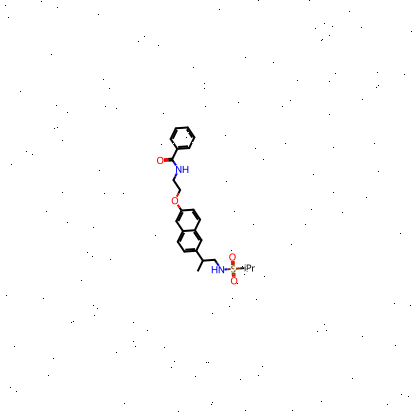 CC(CNS(=O)(=O)C(C)C)c1ccc2cc(OCCNC(=O)c3ccccc3)ccc2c1